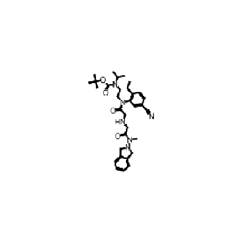 CCc1ccc(C#N)cc1N(CCN(C(=O)OC(C)(C)C)C(C)C)C(=O)CNCC(=O)N(C)N1Cc2ccccc2C1